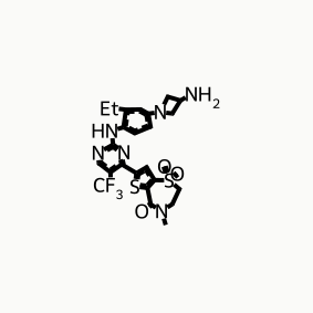 CCc1cc(N2CC(N)C2)ccc1Nc1ncc(C(F)(F)F)c(-c2cc3c(s2)C(=O)N(C)CCS3(=O)=O)n1